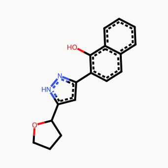 Oc1c(-c2cc(C3CCCO3)[nH]n2)ccc2ccccc12